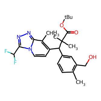 Cc1ccc(C(c2ccn3c(C(F)F)nnc3c2C)C(C)(C)C(=O)OC(C)(C)C)cc1CO